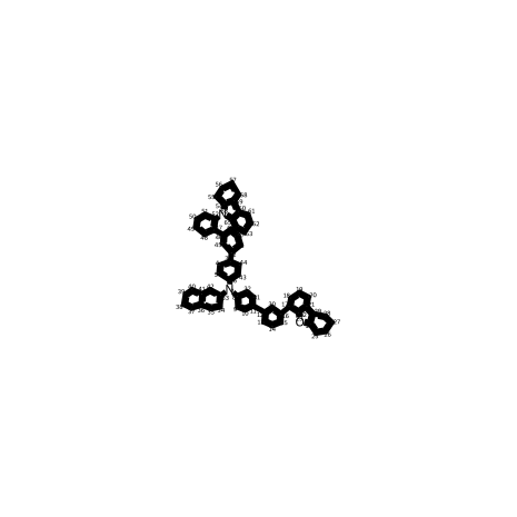 c1cc(-c2ccc(N(c3ccc(-c4cccc(-c5cccc6c5oc5ccccc56)c4)cc3)c3ccc4ccccc4c3)cc2)cc(-c2ccccc2-n2c3ccccc3c3ccccc32)c1